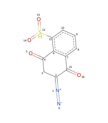 [N-]=[N+]=C1CC(=O)c2c(cccc2[SH](=O)=O)C1=O